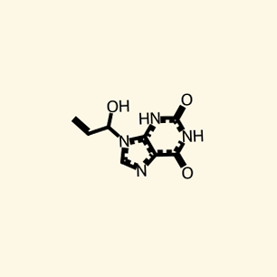 C=CC(O)n1cnc2c(=O)[nH]c(=O)[nH]c21